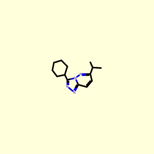 CC(C)c1ccc2nnc(C3CCCCC3)n2n1